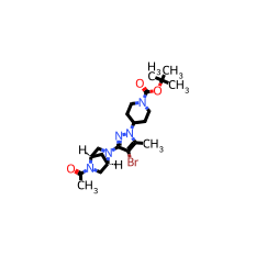 CC(=O)N1C[C@H]2C[C@@H]1CN2c1nn(C2CCN(C(=O)OC(C)(C)C)CC2)c(C)c1Br